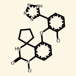 O=C1NC2(CCCC2)c2c(Oc3c(Cl)cccc3-c3nnn[nH]3)cccc2N1Cl